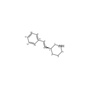 C(=N\[C@@H]1CCCNC1)/c1ccccc1